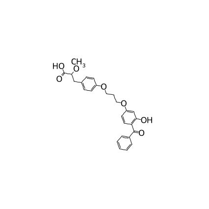 COC(Cc1ccc(OCCCOc2ccc(C(=O)c3ccccc3)c(O)c2)cc1)C(=O)O